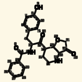 O=C(NC(Cc1ccc(O)cc1)C(=O)C1CCNC2C(=O)COC12)c1ccccc1